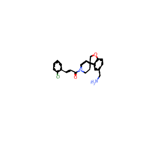 NCc1ccc2c(c1)C1(CCN(C(=O)C=Cc3ccccc3Cl)CC1)CO2